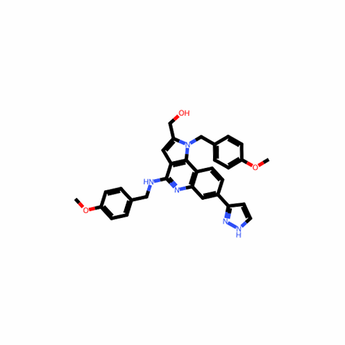 COc1ccc(CNc2nc3cc(-c4cc[nH]n4)ccc3c3c2cc(CO)n3Cc2ccc(OC)cc2)cc1